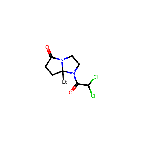 CCC12CCC(=O)N1CCN2C(=O)C(Cl)Cl